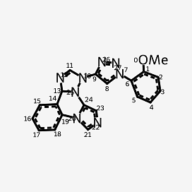 COc1ccccc1-n1cc(N2C=NC3c4ccccc4-n4cncc4N32)nn1